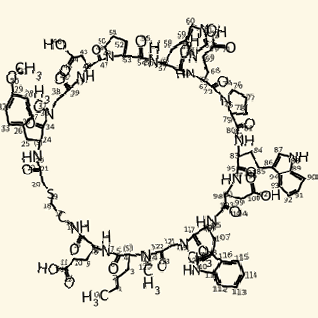 CCCC[C@H]1C(=O)N[C@@H](CCC(=O)O)C(=O)NCCSCC(=O)N[C@@H](Cc2ccc(OC)cc2)C(=O)N(C)CC(=O)N[C@@H](CC(=O)O)C(=O)N2CCCC2C(=O)N[C@@H](Cc2cnc[nH]2)C(=O)N[C@@H](CCC(=O)O)C(=O)N2CCCC2C(=O)NC(CCc2c[nH]c3ccccc23)C(=O)N[C@@H](CC(=O)O)C(=O)N[C@@H](Cc2c[nH]c3ccccc23)C(=O)N(C)CC(=O)N1C